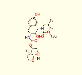 CCC(CC)CN(C[C@@H](O)[C@H](Cc1ccc(O)cc1)NC(=O)O[C@H]1CO[C@H]2OCC[C@H]21)C(=O)OC(C)(C)C